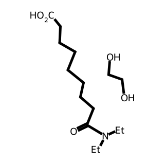 CCN(CC)C(=O)CCCCCCCC(=O)O.OCCO